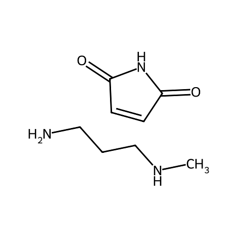 CNCCCN.O=C1C=CC(=O)N1